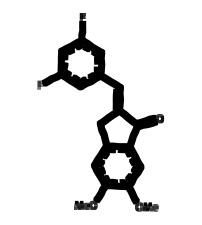 COc1cc2c(cc1OC)C(=O)C(=Cc1cc(F)cc(F)c1)C2